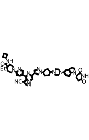 CCC1(C(=O)NC2CCC2)CCN(c2ccc(-c3nc(-c4cnn(C5CCC(N6CCN(c7ccc8c(c7)CCN8[C@H]7CCC(=O)NC7=O)CC6)CC5)c4)cn4ncc(C#N)c34)cn2)CC1